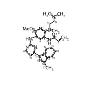 C=CC(=O)Nc1cc(Nc2nccc(-c3nc(C)c4ccccn34)n2)c(OC)nc1N(C)CCN(C)C